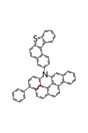 c1ccc(-c2ccc(N(c3ccc4c(ccc5sc6ccccc6c54)c3)c3cc4ccccc4c4ccc5ccccc5c34)cc2)cc1